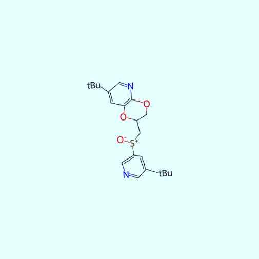 CC(C)(C)c1cncc([S+]([O-])CC2COc3ncc(C(C)(C)C)cc3O2)c1